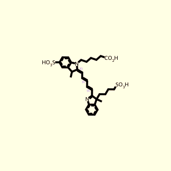 CC1\C(=C/C=C/C=C/C2=Nc3ccccc3C2(C)CCCCS(=O)(=O)O)N(CCCCCC(=O)O)c2ccc(S(=O)(=O)O)cc21